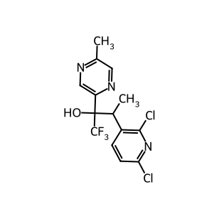 Cc1cnc(C(O)(C(C)c2ccc(Cl)nc2Cl)C(F)(F)F)cn1